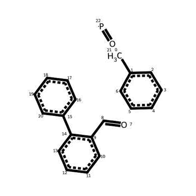 Cc1ccccc1.O=Cc1ccccc1-c1ccccc1.O=[P]